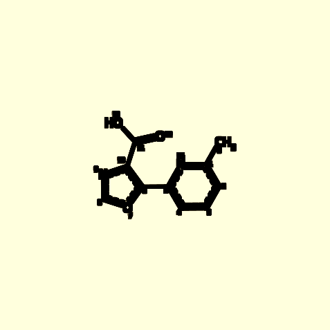 Cc1cccc(-c2ocnc2C(=O)O)n1